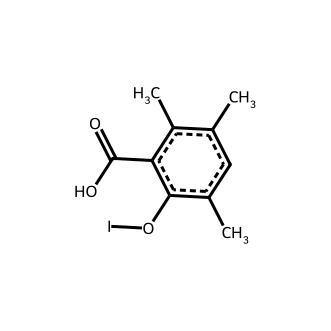 Cc1cc(C)c(OI)c(C(=O)O)c1C